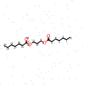 CCCCCCC(=O)OC[CH]COC(=O)CCCCCC